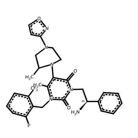 Cc1c(N2CCN(c3ccon3)CC2C)c(=O)n(C[C@H](N)c2ccccc2)c(=O)n1Cc1c(F)cccc1C(F)(F)F